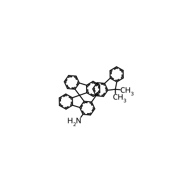 CC1(C)c2ccccc2-c2ccc(-c3ccc(N)c4c3C3(c5ccccc5-c5ccccc53)c3ccccc3-4)cc21